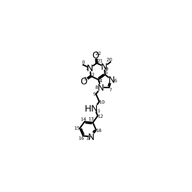 Cn1c(=O)c2c(ncn2CCNCc2cccnc2)n(C)c1=O